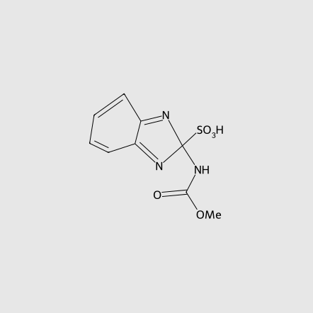 COC(=O)NC1(S(=O)(=O)O)N=c2ccccc2=N1